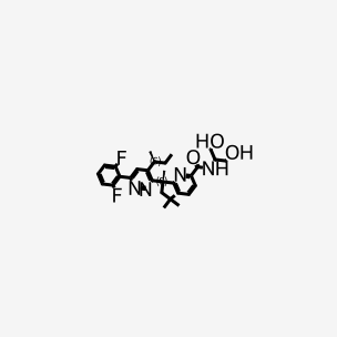 CC[C@H](C)c1cc(-c2c(F)cccc2F)nnc1[C@@](C)(CC(C)(C)C)c1cccc(C(=O)NC(CO)CO)n1